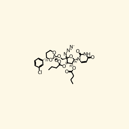 CCCC(=O)O[C@H]1[C@H](n2ccc(=O)[nH]c2=O)O[C@@](COP2(=O)OCC[C@@H](c3cccc(Cl)c3)O2)(N=[N+]=[N-])[C@H]1OC(=O)CCC